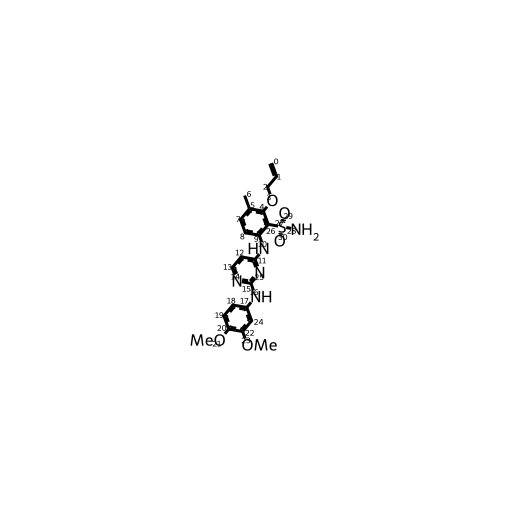 C=CCOc1c(C)ccc(Nc2ccnc(Nc3ccc(OC)c(OC)c3)n2)c1S(N)(=O)=O